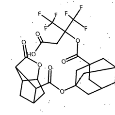 O=C(O)CC(OC(=O)C12CC3CC(CC(OC(=O)C4C5CC6OC(=O)C4C6C5)(C3)C1)C2)(C(F)(F)F)C(F)(F)F